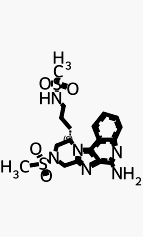 CS(=O)(=O)NCCC[C@H]1CN(S(C)(=O)=O)Cc2nc3c(N)nc4ccccc4c3n21